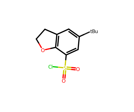 CC(C)(C)c1cc2c(c(S(=O)(=O)Cl)c1)OCC2